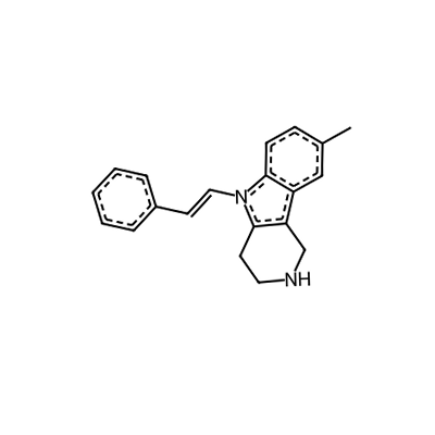 Cc1ccc2c(c1)c1c(n2/C=C/c2ccccc2)CCNC1